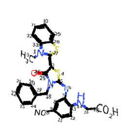 CN1C(=C2SC(=Nc3cc(C#N)ccc3NCC(=O)O)N(Cc3ccccc3)C2=O)Sc2ccccc21